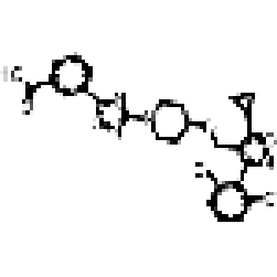 O=C(O)c1cccc(-c2nc(N3CCC(OCc4c(-c5c(Cl)cccc5Cl)noc4C4CC4)CC3)no2)c1